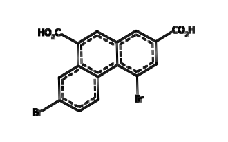 O=C(O)c1cc(Br)c2c(c1)cc(C(=O)O)c1cc(Br)ccc12